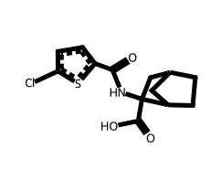 O=C(NC1(C(=O)O)CC2CCC1C2)c1ccc(Cl)s1